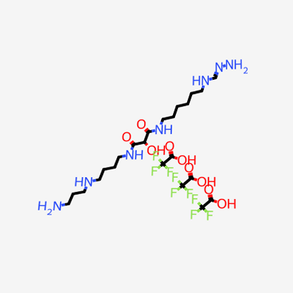 NCCCNCCCCNC(=O)C(O)C(=O)NCCCCCCNC=NN.O=C(O)C(F)(F)F.O=C(O)C(F)(F)F.O=C(O)C(F)(F)F